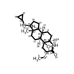 CS[C@@H]1C[C@@]2(C)[C@@H](CC[C@@H]3[C@@H]2CC[C@]2(C)[C@@H](NC4CC4)CC[C@@H]32)NC1=O